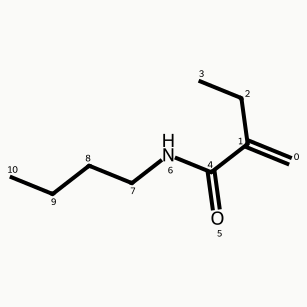 C=C(CC)C(=O)NCCCC